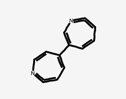 C1=CC=C(C2=CN=C=CC=C2)C=CN=1